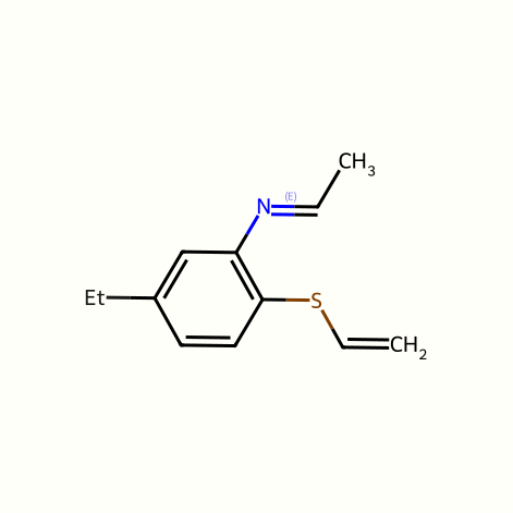 C=CSc1ccc(CC)cc1/N=C/C